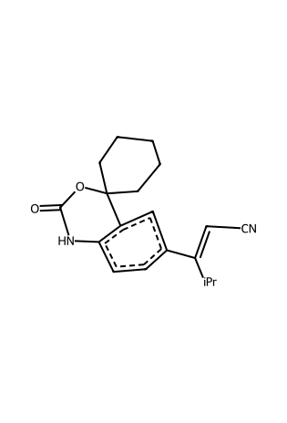 CC(C)C(=CC#N)c1ccc2c(c1)C1(CCCCC1)OC(=O)N2